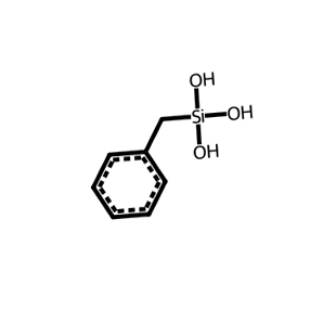 O[Si](O)(O)Cc1ccccc1